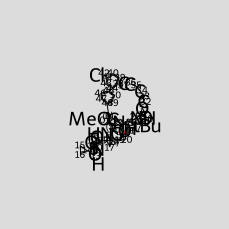 CO[C@@]12C[C@@H](C(=O)N[C@]3(C(=O)NS(=O)(=O)C4CC4)C[C@H]3C3CC3)N(C1)C(=O)[C@H](C(C)(C)C)NC(=O)OCCCCCCc1ccc(Cl)cc1-c1ccc2cc1